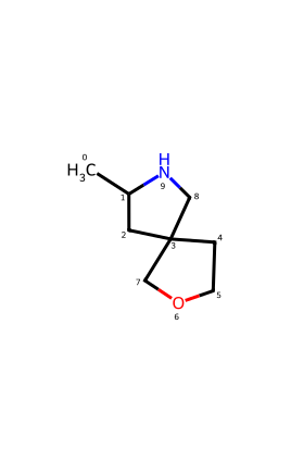 CC1CC2(CCOC2)CN1